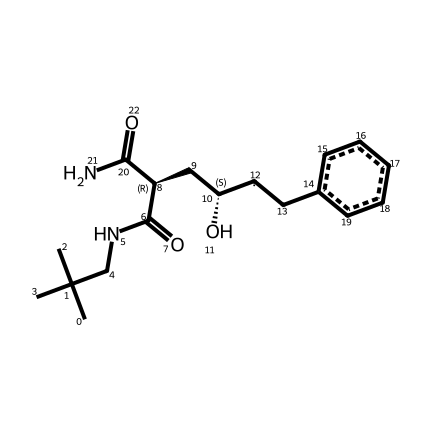 CC(C)(C)CNC(=O)[C@H](C[C@@H](O)[CH]Cc1ccccc1)C(N)=O